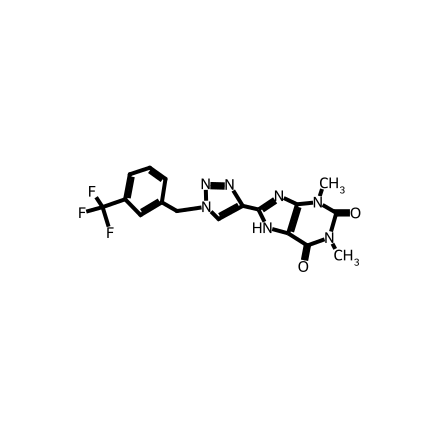 Cn1c(=O)c2[nH]c(-c3cn(Cc4cccc(C(F)(F)F)c4)nn3)nc2n(C)c1=O